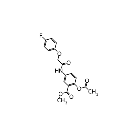 COC(=O)c1cc(NC(=O)COc2ccc(F)cc2)ccc1OC(C)=O